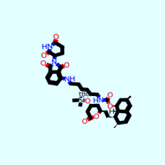 C[C@H]1C=C2C=C[C@H](C)[C@H](CC[C@@H]3C[C@@H](O[Si](C)(C)C(C)(C)C)CC(=O)O3)[C@H]2[C@@H](OC(=O)NCCCCCCNc2cccc3c2C(=O)N(C2CCC(=O)NC2=O)C3=O)C1